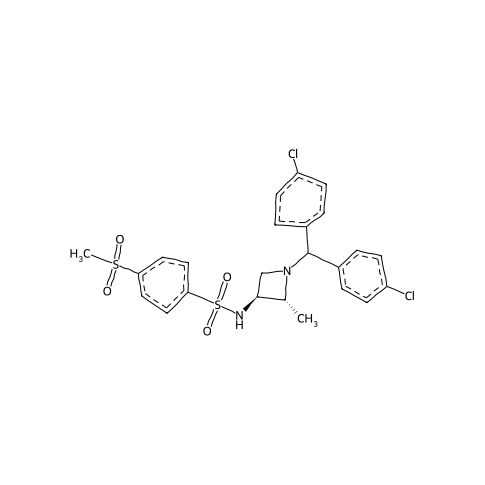 C[C@@H]1[C@@H](NS(=O)(=O)c2ccc(S(C)(=O)=O)cc2)CN1C(c1ccc(Cl)cc1)c1ccc(Cl)cc1